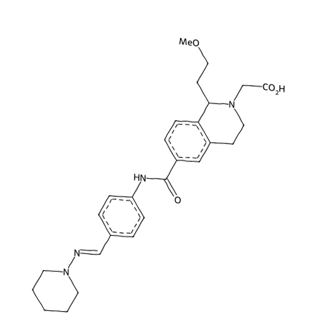 COCCC1c2ccc(C(=O)Nc3ccc(C=NN4CCCCC4)cc3)cc2CCN1CC(=O)O